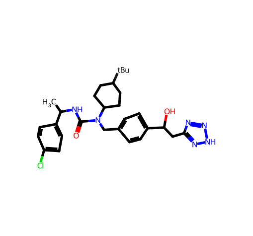 CC(NC(=O)N(Cc1ccc(C(O)Cc2nn[nH]n2)cc1)C1CCC(C(C)(C)C)CC1)c1ccc(Cl)cc1